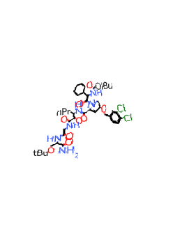 CCCC(NC(=O)[C@@H]1C[C@@H](OCc2ccc(Cl)c(Cl)c2)CN1C(=O)C(NC(=O)OCC(C)C)C1CCCCC1)C(=O)C(=O)NCC(=O)NC(COC(C)(C)C)C(N)=O